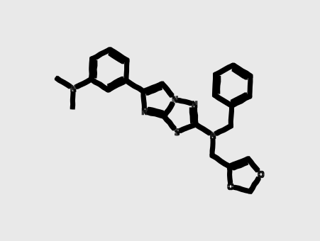 CN(C)c1cccc(-c2cn3nc(N(CC4=COCO4)Cc4ccccc4)sc3n2)c1